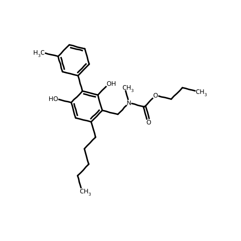 CCCCCc1cc(O)c(-c2cccc(C)c2)c(O)c1CN(C)C(=O)OCCC